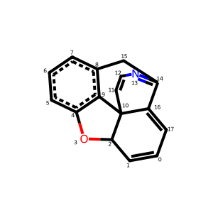 C1=CC2Oc3cccc4c3C23C=CN=C(C4)C3=C1